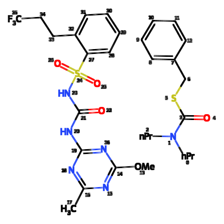 CCCN(CCC)C(=O)SCc1ccccc1.COc1nc(C)nc(NC(=O)NS(=O)(=O)c2ccccc2CCC(F)(F)F)n1